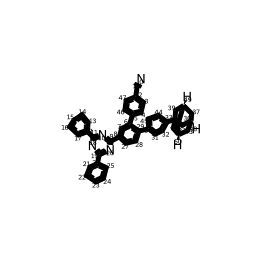 N#Cc1ccc(-c2cc(-c3nc(-c4ccccc4)nc(-c4ccccc4)n3)ccc2-c2ccc(C34C[C@H]5C[C@H](C3)C[C@@H](C4)C5)cc2)cc1